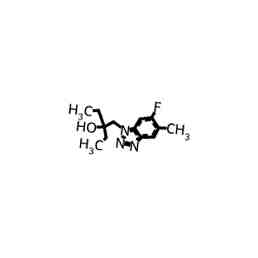 CCC(O)(CC)Cn1nnc2cc(C)c(F)cc21